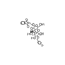 COc1ccc(COC2C(O)C(CO)OC(OC3C(CO)OC(OCCN4C(=O)c5ccccc5C4=O)C(O)C3O)C2O)cc1